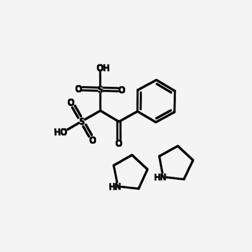 C1CCNC1.C1CCNC1.O=C(c1ccccc1)C(S(=O)(=O)O)S(=O)(=O)O